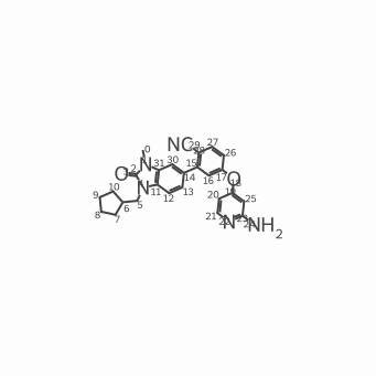 Cn1c(=O)n(CC2CCCC2)c2ccc(-c3cc(Oc4ccnc(N)c4)ccc3C#N)cc21